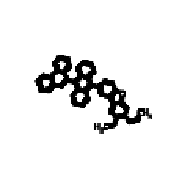 C=Cc1cc2c(cc1/C=C\C)oc1ccc(-c3c4ccccc4c(-c4cc5ccccc5c5ccccc45)c4ccccc34)cc12